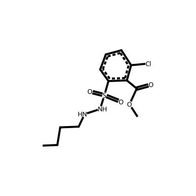 CCCCNNS(=O)(=O)c1cccc(Cl)c1C(=O)OC